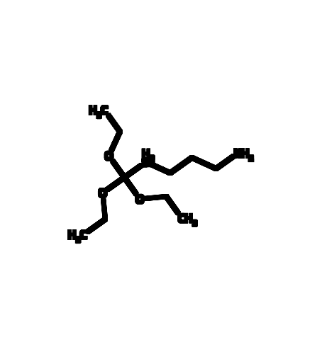 CCOC(OCC)(OCC)[SiH2]CCCN